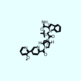 COc1cccnc1-c1ccc(C(=O)N2C[C@@H]3C[C@H]2CN3C(=O)[C@@H](n2c(C(N)=O)cc3ccccc32)C(C)(C)C)nc1